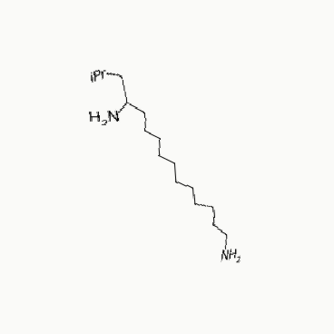 CC(C)CC(N)CCCCCCCCCCCN